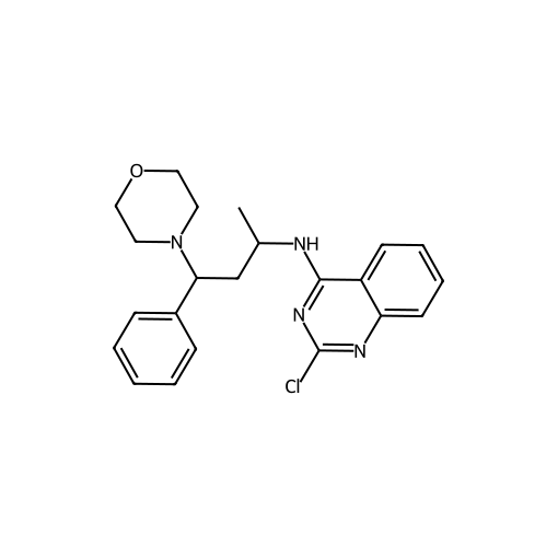 CC(CC(c1ccccc1)N1CCOCC1)Nc1nc(Cl)nc2ccccc12